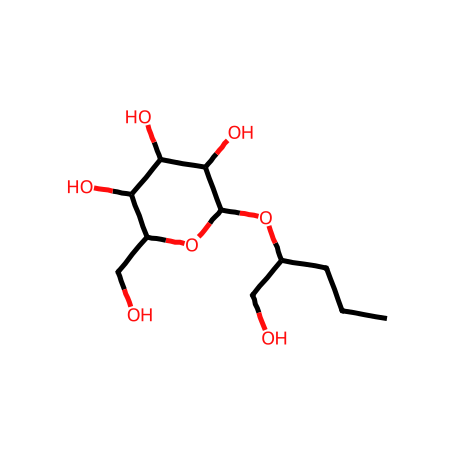 CCCC(CO)OC1OC(CO)C(O)C(O)C1O